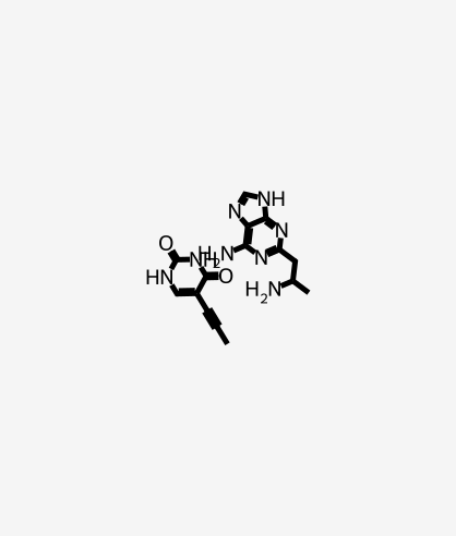 CC#Cc1c[nH]c(=O)[nH]c1=O.CC(N)Cc1nc(N)c2nc[nH]c2n1